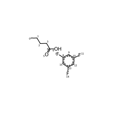 CCCCC(=O)O.Fc1cc(F)cc(F)c1